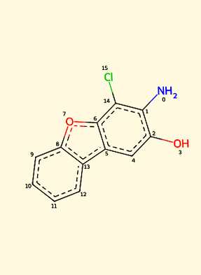 Nc1c(O)cc2c(oc3ccccc32)c1Cl